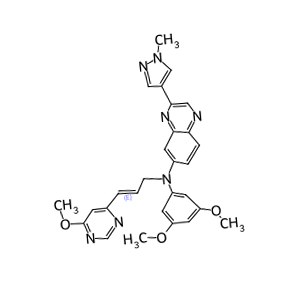 COc1cc(OC)cc(N(C/C=C/c2cc(OC)ncn2)c2ccc3ncc(-c4cnn(C)c4)nc3c2)c1